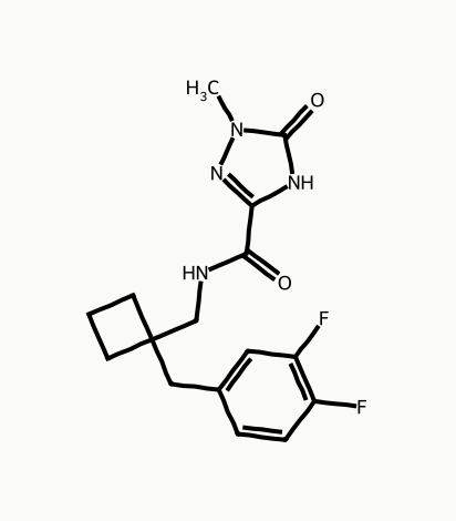 Cn1nc(C(=O)NCC2(Cc3ccc(F)c(F)c3)CCC2)[nH]c1=O